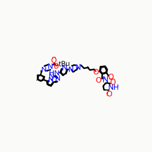 CC(C)(C)OC(=O)N1CCN(Cc2cccc(-c3ccc4cnc(Nc5ccc(N6CCN(CCCCCOc7cccc8c7C(=O)N(C7CCC(=O)NC7=O)C8=O)CC6)nc5)nn34)c2)CC1